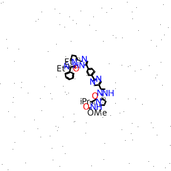 CCN(CC)[C@@H](C(=O)N1CCC[C@H]1c1ncc(-c2ccc(-c3ncc(C4CNC([C@@H]5CCCN5C(=O)[C@@H](NC(=O)OC)C(C)C)=N4)cn3)cc2)[nH]1)c1ccccc1